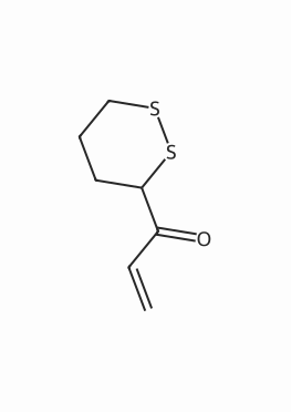 C=CC(=O)C1CCCSS1